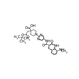 CNc1cccc2cc(C(=O)Nc3cnc(N4CCC(CC(=O)OC(C)(C)C)(C(=O)O)CC4)nc3)c(=O)[nH]c12